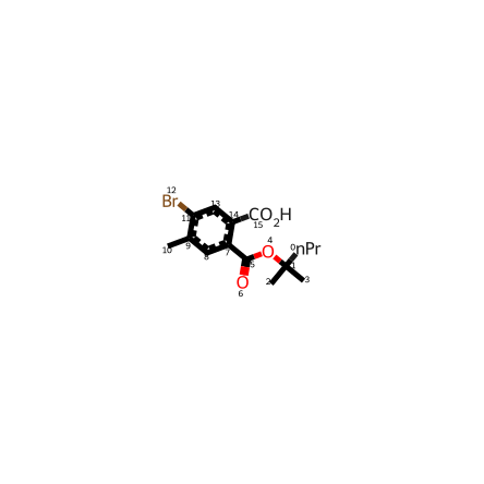 CCCC(C)(C)OC(=O)c1cc(C)c(Br)cc1C(=O)O